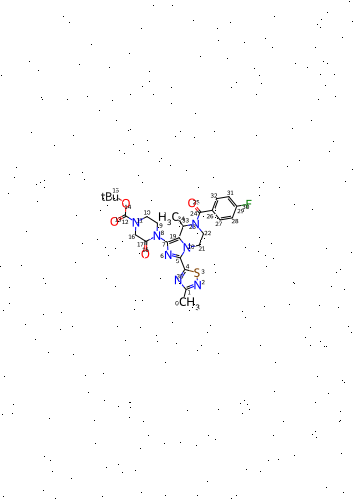 Cc1nsc(-c2nc(N3CCN(C(=O)OC(C)(C)C)CC3=O)c3n2CCN(C(=O)c2ccc(F)cc2)[C@@H]3C)n1